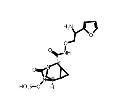 NC(CONC(=O)[C@@H]1C2CC2[C@@H]2CN1C(=O)N2OS(=O)(=O)O)c1ccco1